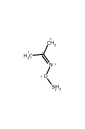 CC(C)=NO[SiH3]